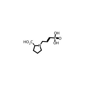 O=C(O)[C@@H]1CCCN1CC=CP(=O)(O)O